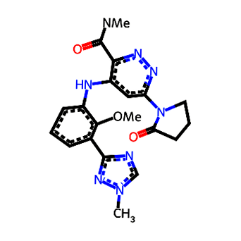 CNC(=O)c1nnc(N2CCCC2=O)cc1Nc1cccc(-c2ncn(C)n2)c1OC